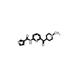 CN1CCC(C(=O)c2cccc(NC(=O)c3ccsc3)n2)CC1